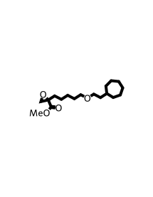 COC(=O)C1(CCCCCOCCC2CCCCCC2)CO1